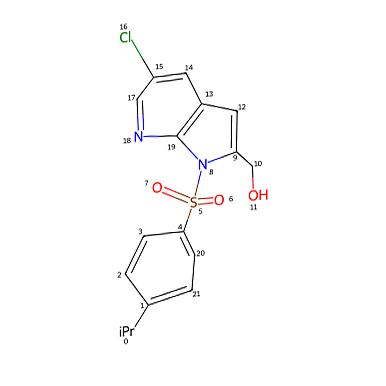 CC(C)c1ccc(S(=O)(=O)n2c(CO)cc3cc(Cl)cnc32)cc1